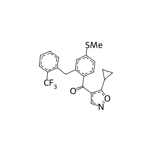 CSc1ccc(C(=O)c2cnoc2C2CC2)c(Cc2ccccc2C(F)(F)F)c1